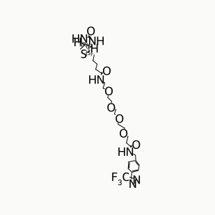 O=C(CCCC[C@@H]1SC[C@@H]2NC(=O)N[C@@H]21)NCCOCCOCCOCCOCCC(=O)NCc1ccc(C2(C(F)(F)F)N=N2)cc1